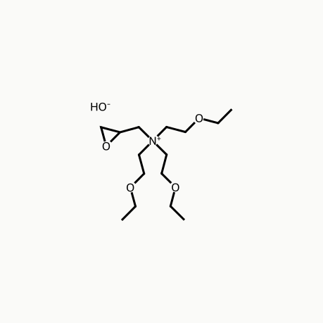 CCOCC[N+](CCOCC)(CCOCC)CC1CO1.[OH-]